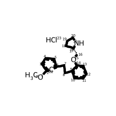 COc1cccc(CCc2ccccc2OC[C@@H]2CCCN2)c1.Cl